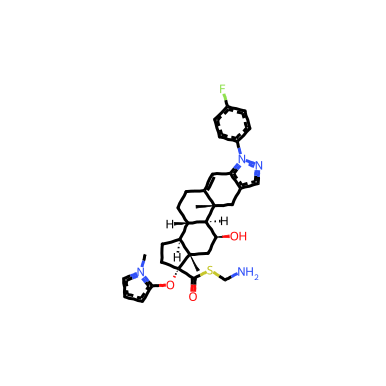 Cn1cccc1O[C@]1(C(=O)SCN)CC[C@H]2[C@@H]3CCC4=Cc5c(cnn5-c5ccc(F)cc5)C[C@]4(C)[C@H]3[C@@H](O)C[C@@]21C